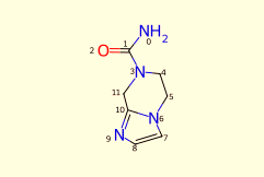 NC(=O)N1CCn2ccnc2C1